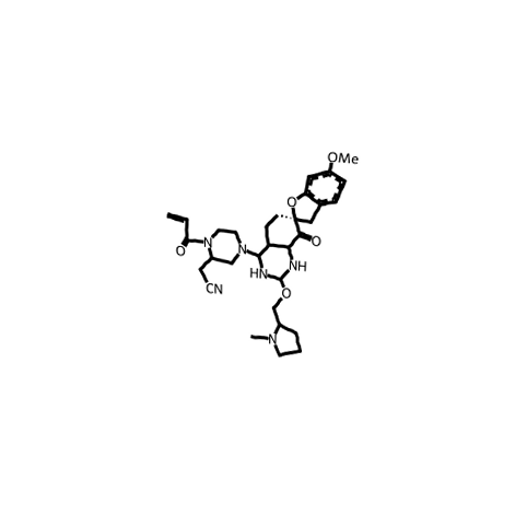 C=CC(=O)N1CCN(C2NC(OCC3CCCN3C)NC3C(=O)[C@]4(CCC32)Cc2ccc(OC)cc2O4)CC1CC#N